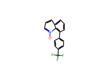 [O-][n+]1cccc2cccc(-c3ccc(C(F)(F)F)cc3)c21